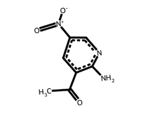 CC(=O)c1cc([N+](=O)[O-])cnc1N